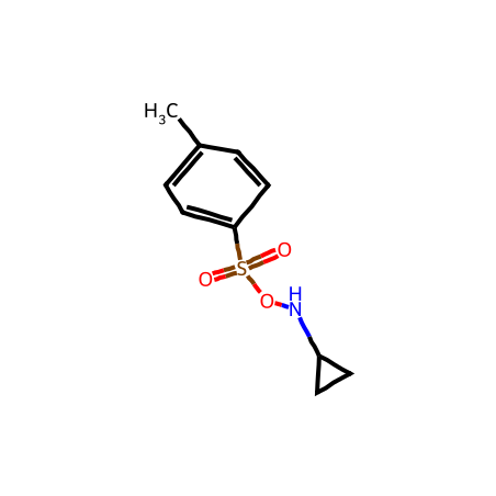 Cc1ccc(S(=O)(=O)ONC2CC2)cc1